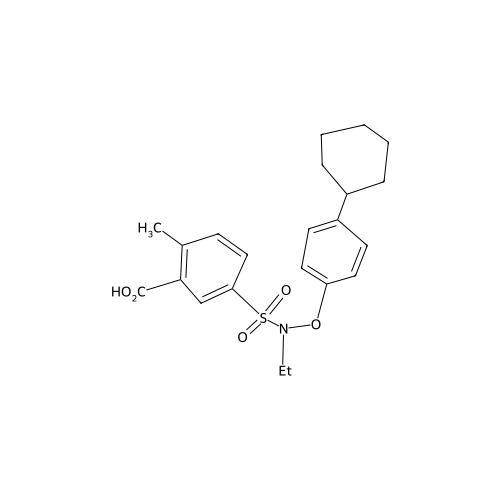 CCN(Oc1ccc(C2CCCCC2)cc1)S(=O)(=O)c1ccc(C)c(C(=O)O)c1